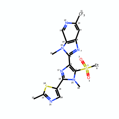 CCS(=O)(=O)c1c(-c2nc3cc(C(F)(F)F)ncc3n2C)nc(-c2cnc(C)s2)n1C